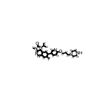 CC(C)n1c(=O)n(C)c2nnc3cc(F)c(-c4ccc(OCCCN5CCNCC5)nc4)cc3c21